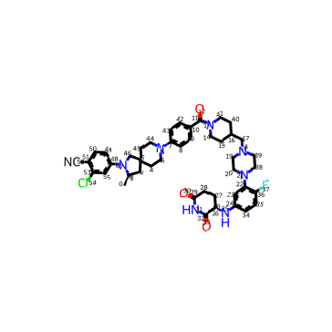 C[C@@H]1CC2(CCN(c3ccc(C(=O)N4CCC(CN5CCN(c6cc(N[C@@H]7CCC(=O)NC7=O)ccc6F)CC5)CC4)cc3)CC2)CN1c1ccc(C#N)c(Cl)c1